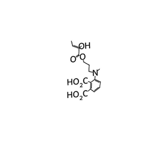 CC=C(O)C(=O)OCCCN(C)c1cccc(C(=O)O)c1C(=O)O